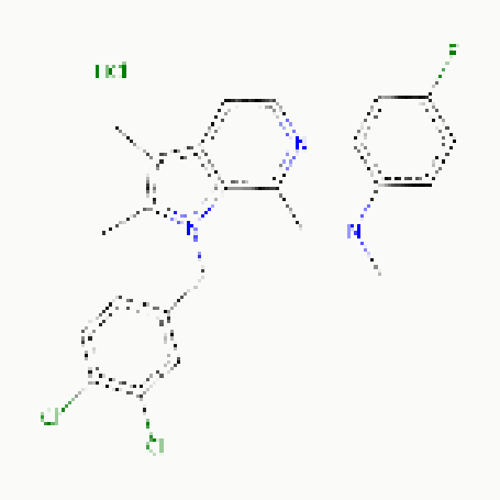 Cc1c(C)n(Cc2ccc(Cl)c(Cl)c2)c2c(CN(C)c3ccc(F)cc3)nccc12.Cl